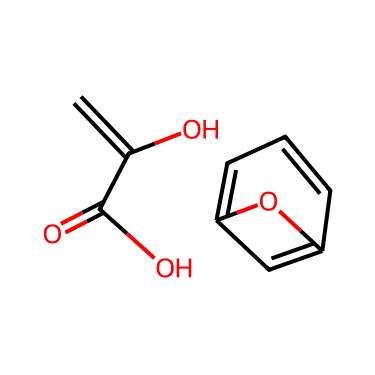 C=C(O)C(=O)O.c1cc2cc(c1)O2